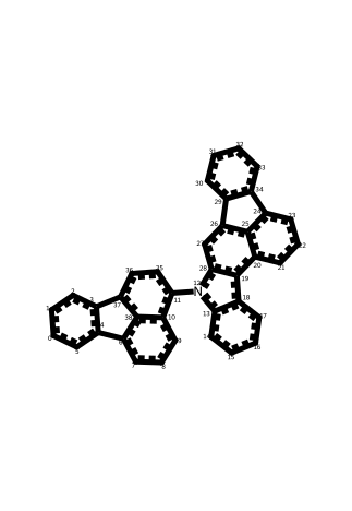 c1ccc2c(c1)-c1cccc3c(-n4c5ccccc5c5c6cccc7c6c(cc54)-c4ccccc4-7)ccc-2c13